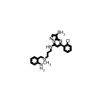 Bc1cnn2c(NCCCN(C)Cc3ccccc3N)cc(-c3ccccc3Cl)nc12